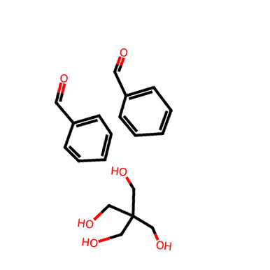 O=Cc1ccccc1.O=Cc1ccccc1.OCC(CO)(CO)CO